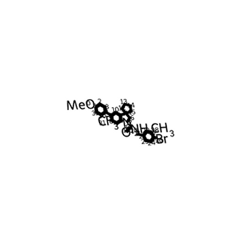 COc1ccc(-c2ccc3c(c2)C2(CCCC2)CN3C(=O)NCc2ccc(Br)c(C)c2)c(C(F)(F)F)c1